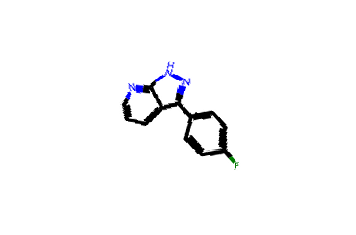 Fc1ccc(-c2n[nH]c3ncccc23)cc1